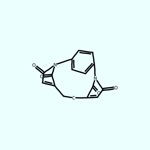 O=C1C=C2CCC3=CC(=O)N(C3=O)c3ccc(cc3)N1C2=O